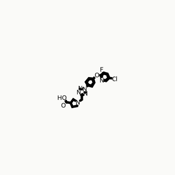 O=C(O)C1CCN(Cc2nnn(-c3ccc(Oc4ncc(Cl)cc4F)cc3)n2)C1